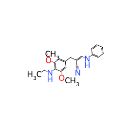 CCNc1c(OC)cc(CC(C#N)=CNc2ccccc2)cc1OC